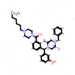 CCOC(=O)CCCCCN1CCN(C(=O)c2cccc(C(c3cccc(O)c3)N3C[C@@H](C)N(Cc4ccccc4)C[C@@H]3C)c2)CC1